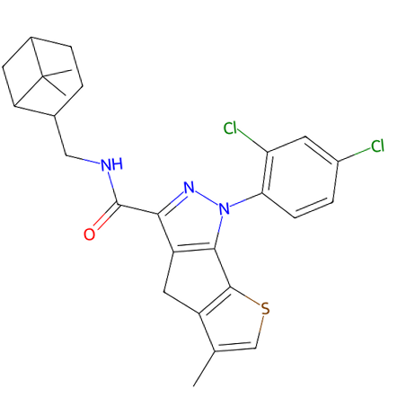 Cc1csc2c1Cc1c(C(=O)NCC3CCC4CC3C4(C)C)nn(-c3ccc(Cl)cc3Cl)c1-2